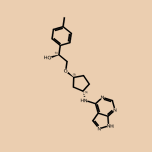 Cc1ccc([C@H](O)CO[C@H]2CC[C@H](Nc3ncnc4[nH]ncc34)C2)cc1